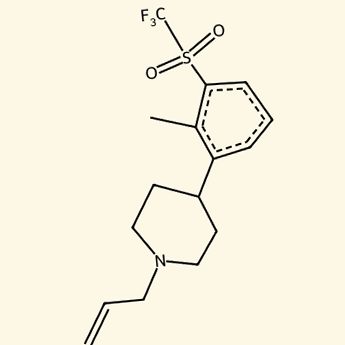 C=CCN1CCC(c2cccc(S(=O)(=O)C(F)(F)F)c2C)CC1